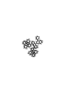 c1ccc(-c2cc(-c3c4cccc(-c5cccc6c5-c5ccccc5[Si]6(c5ccccc5)c5ccccc5)c4cc4c(-c5cccc6c5-c5ccccc5[Si]6(c5ccccc5)c5ccccc5)cccc34)cc3ccccc23)cc1